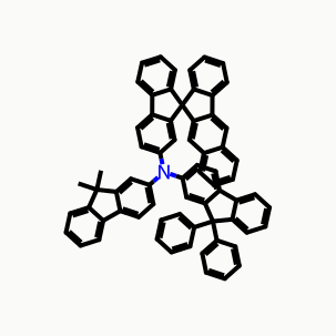 CC1(C)c2ccccc2-c2ccc(N(c3ccc4c(c3)C(c3ccccc3)(c3ccccc3)c3ccccc3-4)c3ccc4c(c3)C3(c5ccccc5-4)c4ccccc4-c4cc5ccccc5cc43)cc21